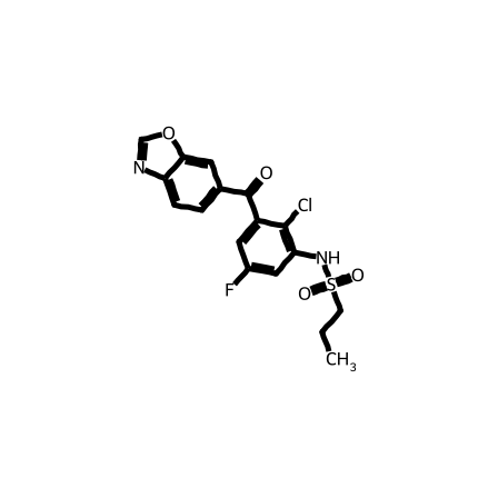 CCCS(=O)(=O)Nc1cc(F)cc(C(=O)c2ccc3ncoc3c2)c1Cl